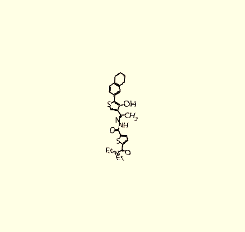 CCN(CC)C(=O)c1ccc(C(=O)N/N=C(\C)c2csc(-c3ccc4c(c3)CCCC4)c2O)s1